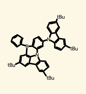 CC(C)(C)c1ccc2c(c1)c1cc(C(C)(C)C)ccc1n2-c1ccc2c(c1)-n1c3ccc(C(C)(C)C)cc3c3cc(C(C)(C)C)cc(c31)B2c1ccccc1